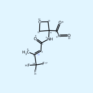 C/C(=C\C(=O)NC1(C(=O)N=O)COC1)C(F)(F)F